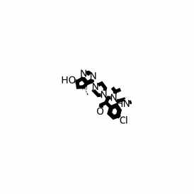 CNCCN(C(C)C)C(C(C=O)c1ccc(Cl)cc1)N1CCN(c2ncnc3c2[C@H](C)C[C@H]3O)CC1